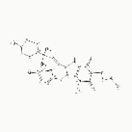 CC1CCN(C(C)(C)C#CC2Nc3c(n(C)c(=O)n(CCCO)c3=O)N2Cc2ccc(Cl)cc2)CC1